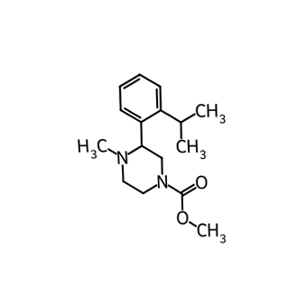 COC(=O)N1CCN(C)C(c2ccccc2C(C)C)C1